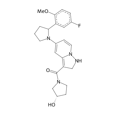 COc1ccc(F)cc1C1CCCN1C1=CC2=C(C(=O)N3CC[C@H](O)C3)CNN2C=C1